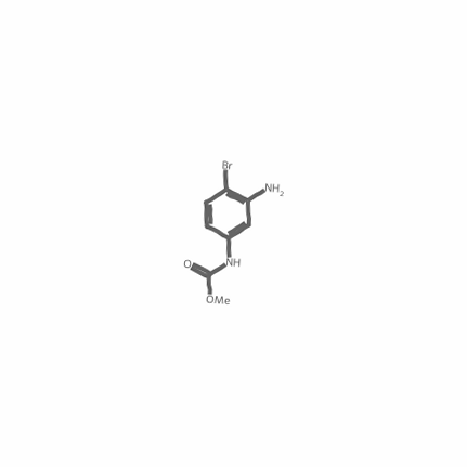 COC(=O)Nc1ccc(Br)c(N)c1